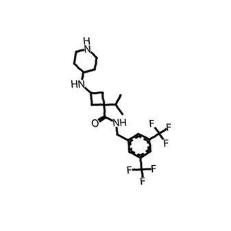 CC(C)C1(C(=O)NCc2cc(C(F)(F)F)cc(C(F)(F)F)c2)CC(NC2CCNCC2)C1